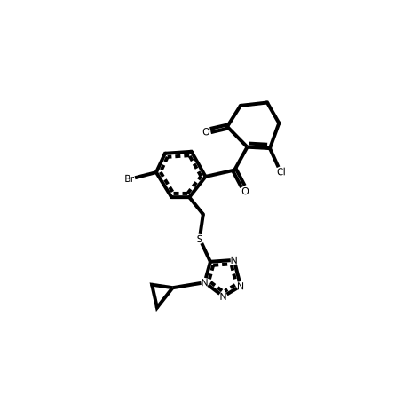 O=C1CCCC(Cl)=C1C(=O)c1ccc(Br)cc1CSc1nnnn1C1CC1